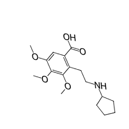 COc1cc(C(=O)O)c(CCNC2CCCC2)c(OC)c1OC